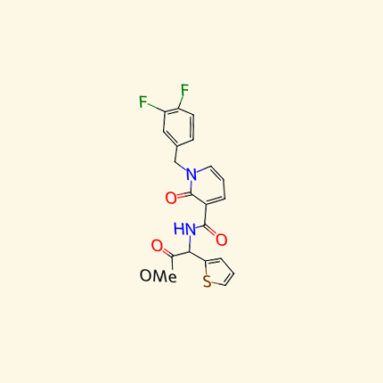 COC(=O)C(NC(=O)c1cccn(Cc2ccc(F)c(F)c2)c1=O)c1cccs1